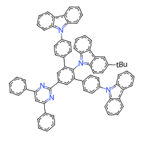 CC(C)(C)c1ccc2c(c1)c1ccccc1n2-c1c(-c2ccc(-n3c4ccccc4c4ccccc43)cc2)cc(-c2nc(-c3ccccc3)cc(-c3ccccc3)n2)cc1-c1ccc(-n2c3ccccc3c3ccccc32)cc1